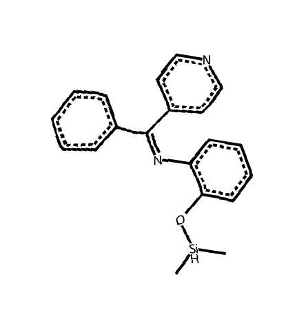 C[SiH](C)Oc1ccccc1N=C(c1ccccc1)c1ccncc1